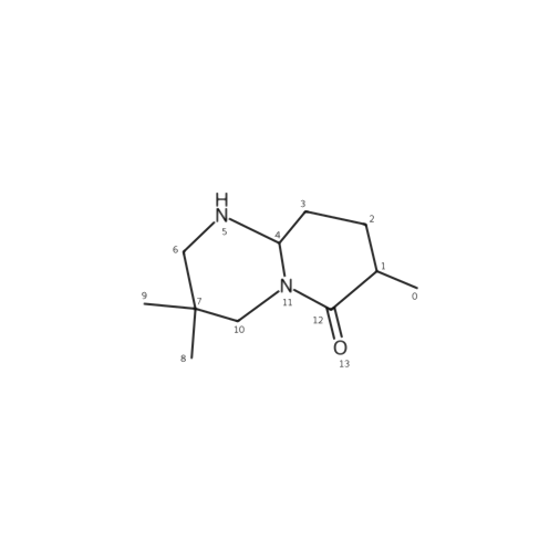 CC1CCC2NCC(C)(C)CN2C1=O